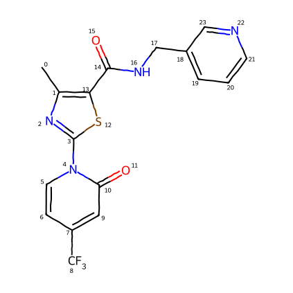 Cc1nc(-n2ccc(C(F)(F)F)cc2=O)sc1C(=O)NCc1cccnc1